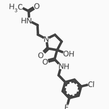 CC(=O)NCCN1CCC(O)(C(=O)NCc2cc(F)cc(Cl)c2)C1=O